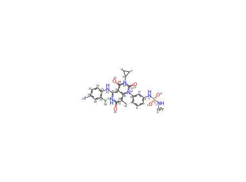 CCCNS(=O)(=O)Nc1cccc(-n2c(=O)n(C3CC3)c(=O)c3c(Nc4ccc(I)cc4F)[nH]c(=O)c(C)c32)c1